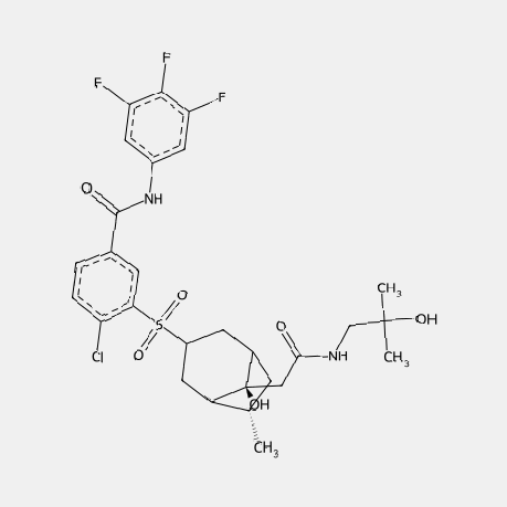 C[C@H]1CC2CC(S(=O)(=O)c3cc(C(=O)Nc4cc(F)c(F)c(F)c4)ccc3Cl)CC1[C@@]2(O)CC(=O)NCC(C)(C)O